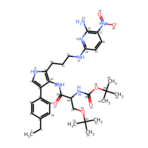 CCc1ccc(-c2c[nH]c(CCCNc3ccc([N+](=O)[O-])c(N)n3)c2NC(=O)C(COC(C)(C)C)NC(=O)OC(C)(C)C)cc1